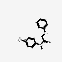 CN(C(=O)COc1ccccc1)c1ccc(N)cc1